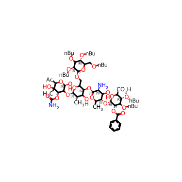 CCCCOCC1O[C@@H](OCC2O[C@@H](OC3[C@H](O)OC(C(C)=O)[C@@](C)(O)[C@@H]3OC(N)=O)[C@@H](C)C(O)[C@@H]2O[C@@H]2OC(C)[C@@H](O[C@@H]3OC(C(=O)O)[C@H](OCCCC)C(OCCCC)[C@@H]3OC(=O)c3ccccc3)C(O)[C@@H]2N)[C@@H](OCCCC)C(OCCCC)[C@@H]1OCCCC